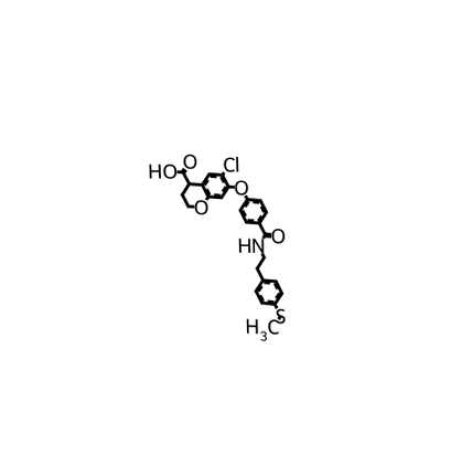 CSc1ccc(CCNC(=O)c2ccc(Oc3cc4c(cc3Cl)C(C(=O)O)CCO4)cc2)cc1